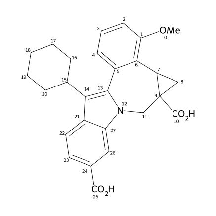 COc1cccc2c1C1CC1(C(=O)O)Cn1c-2c(C2CCCCC2)c2ccc(C(=O)O)cc21